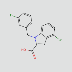 O=C(O)c1cc2c(Br)cccc2n1Cc1cccc(F)c1